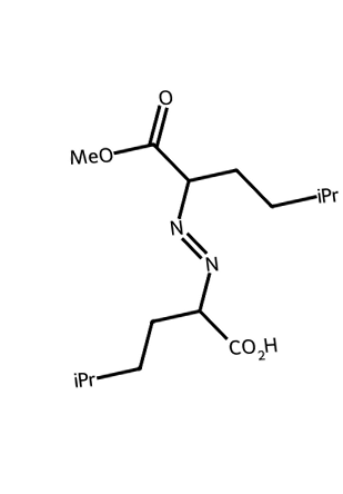 COC(=O)C(CCC(C)C)N=NC(CCC(C)C)C(=O)O